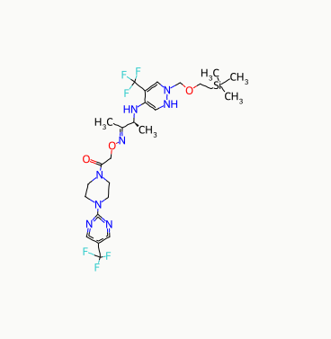 C/C(=N\OCC(=O)N1CCN(c2ncc(C(F)(F)F)cn2)CC1)[C@H](C)NC1=CNN(COCC[Si](C)(C)C)C=C1C(F)(F)F